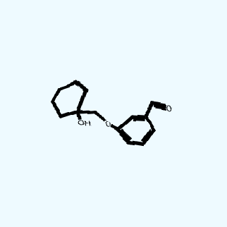 O=Cc1cccc(OCC2(O)CCCCC2)c1